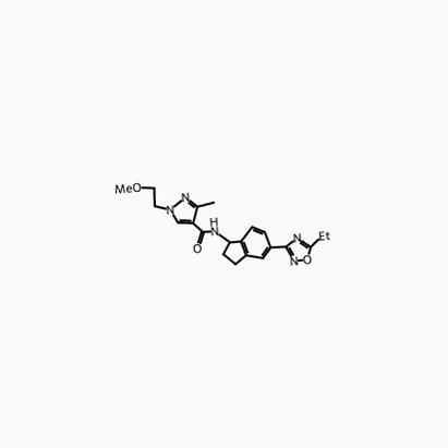 CCc1nc(-c2ccc3c(c2)CCC3NC(=O)c2cn(CCOC)nc2C)no1